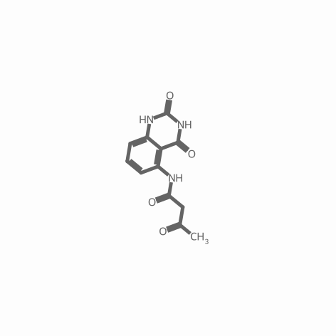 CC(=O)CC(=O)Nc1cccc2[nH]c(=O)[nH]c(=O)c12